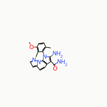 COc1ccc(C)c(-n2c(N)c(C(N)=O)c3ccc4ccnn4c32)c1C